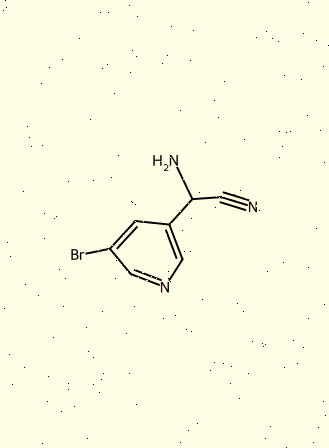 N#CC(N)c1cncc(Br)c1